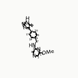 COc1cncc(NCc2ccc(-c3nn[nH]n3)cc2)n1